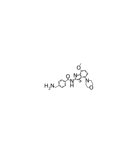 COc1ccc(N2CCOCC2)c2sc(NC(=O)c3ccc(CN)cc3)nc12